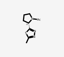 CC(=O)N1CCC[C@H]1c1nnc(C)s1